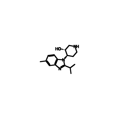 Cc1ccc2c(c1)nc(C(C)C)n2[C@@H]1CCNC[C@H]1O